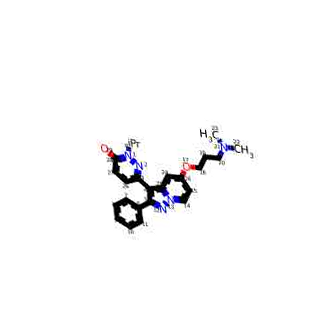 CC(C)n1nc(-c2c(-c3ccccc3)nn3ccc(OCCCN(C)C)cc23)ccc1=O